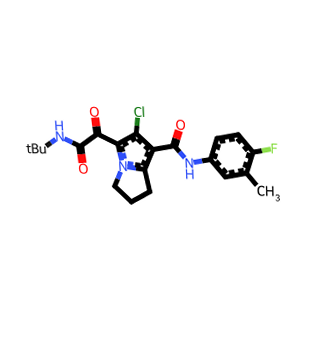 Cc1cc(NC(=O)c2c(Cl)c(C(=O)C(=O)NC(C)(C)C)n3c2CCC3)ccc1F